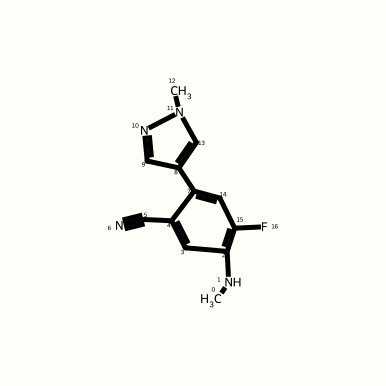 CNc1cc(C#N)c(-c2cnn(C)c2)cc1F